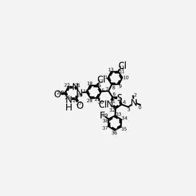 CN(C)Cc1sc(C(c2ccc(Cl)cc2)c2c(Cl)cc(-n3ncc(=O)[nH]c3=O)cc2Cl)nc1-c1ccccc1F